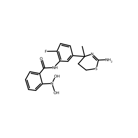 CC1(c2ccc(F)c(NC(=O)c3ccccc3N(O)O)c2)CCSC(N)=N1